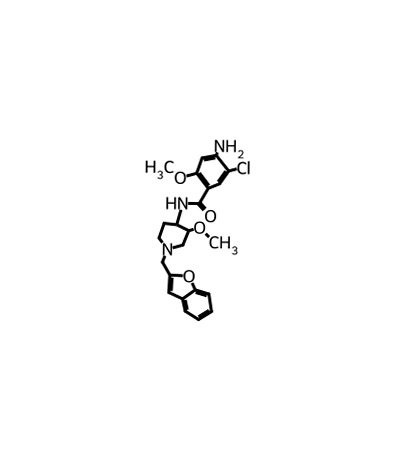 COc1cc(N)c(Cl)cc1C(=O)NC1CCN(Cc2cc3ccccc3o2)CC1OC